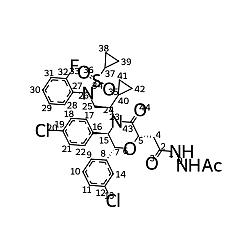 CC(=O)NNC(=O)C[C@@H]1O[C@H](c2cccc(Cl)c2)[C@@H](c2ccc(Cl)cc2)N([C@@H](CN(c2ccccc2F)S(=O)(=O)C2CC2)C2CC2)C1=O